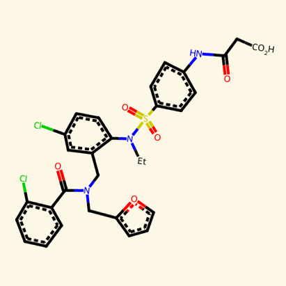 CCN(c1ccc(Cl)cc1CN(Cc1ccco1)C(=O)c1ccccc1Cl)S(=O)(=O)c1ccc(NC(=O)CC(=O)O)cc1